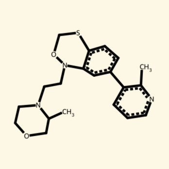 Cc1ncccc1-c1ccc2c(c1)N(CCN1CCOCC1C)OCS2